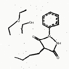 CCCCC1C(=O)NN(c2ccccc2)C1=O.CCO.CCOCC